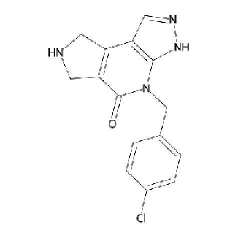 O=c1c2c(c3cn[nH]c3n1Cc1ccc(Cl)cc1)CNC2